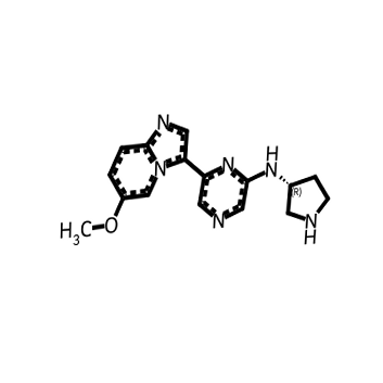 COc1ccc2ncc(-c3cncc(N[C@@H]4CCNC4)n3)n2c1